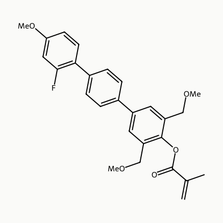 C=C(C)C(=O)Oc1c(COC)cc(-c2ccc(-c3ccc(OC)cc3F)cc2)cc1COC